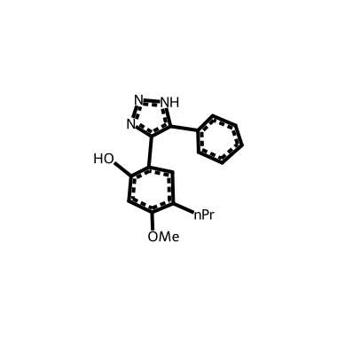 CCCc1cc(-c2nn[nH]c2-c2ccccc2)c(O)cc1OC